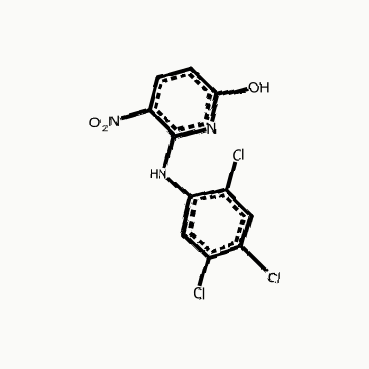 O=[N+]([O-])c1ccc(O)nc1Nc1cc(Cl)c(Cl)cc1Cl